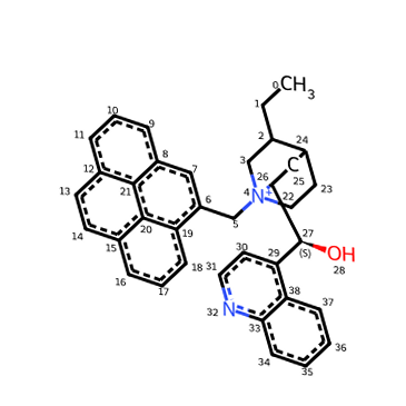 CCC1C[N+]2(Cc3cc4cccc5ccc6cccc3c6c54)CCC1CC2[C@@H](O)c1ccnc2ccccc12